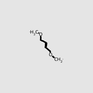 [CH2]OCC=CCO[CH2]